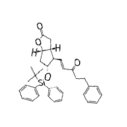 CC(C)(C)[Si](O[C@@H]1C[C@@H]2OC(=O)C[C@@H]2[C@H]1/C=C/C(=O)CCc1ccccc1)(c1ccccc1)c1ccccc1